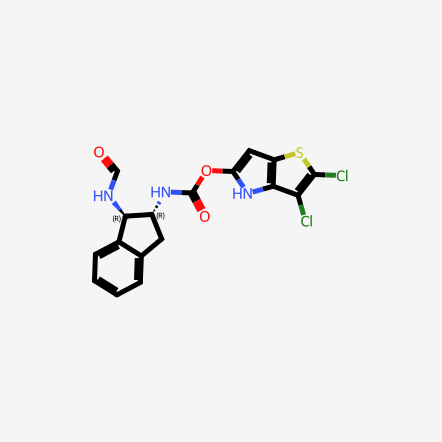 O=CN[C@@H]1c2ccccc2C[C@H]1NC(=O)Oc1cc2sc(Cl)c(Cl)c2[nH]1